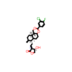 C=C1CC[C@H]2[C@@](C)(CCC3OC(c4ccc(F)c(Cl)c4)OC[C@]32C)[C@@H]1C/C=C1/C(=O)OC[C@H]1O